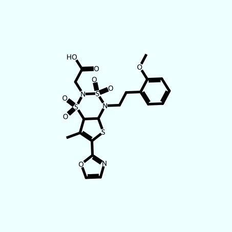 COc1ccccc1CCN1C2SC(c3ncco3)=C(C)C2S(=O)(=O)N(CC(=O)O)S1(=O)=O